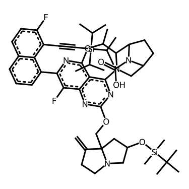 C=C1CCN2CC(O[Si](C)(C)C(C)(C)C)CC12COc1nc2c3c(nc(-c4cccc5ccc(F)c(C#C[Si](C(C)C)(C(C)C)C(C)C)c45)c(F)c3n1)OC(C)C1C3CCC(CN21)N3C(=O)O